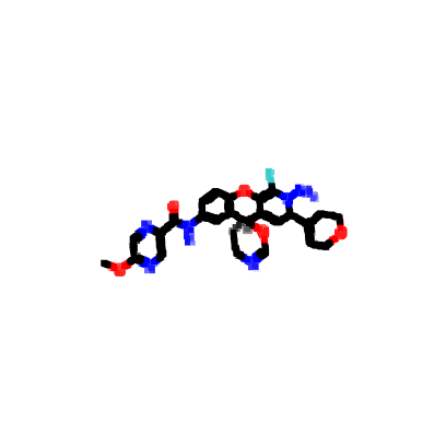 COc1cnc(C(=O)Nc2ccc3c(c2)[C@@]2(CCN=CO2)C2=CC(C4=CCOCC4)N(N)C(F)=C2O3)cn1